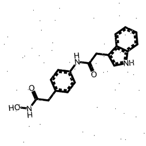 O=C(Cc1ccc(NC(=O)Cc2c[nH]c3ccccc23)cc1)NO